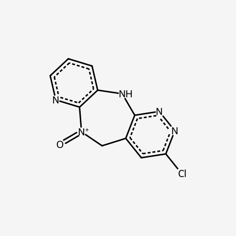 O=[N+]1Cc2cc(Cl)nnc2Nc2cccnc21